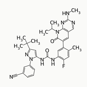 CNc1ncc2cc(-c3cc(NC(=O)Nc4cc(C(C)(C)C)nn4-c4cccc(C#N)c4)c(F)cc3C)c(=O)n(C(C)C)c2n1